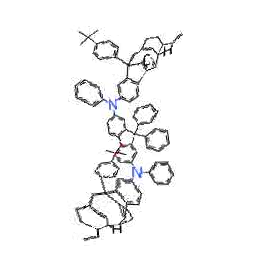 C=CC1CCC2=C[C@@H]1C1=CCCC3=C1c1ccc(N(c4ccccc4)c4ccc5c(c4)C(c4ccccc4)(c4ccccc4)c4cc(N(c6ccccc6)c6ccc7c(c6)C6(c8ccc(C(C)(C)C)cc8)CC8=C[C@@H](C9=CCCC6=C97)C(C=C)CC8)ccc4-5)cc1C3(c1ccc(C(C)(C)C)cc1)C2